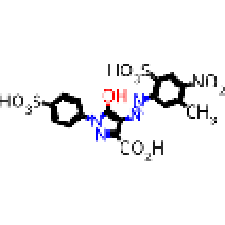 Cc1cc(/N=N/c2c(C(=O)O)nn(-c3ccc(S(=O)(=O)O)cc3)c2O)c(S(=O)(=O)O)cc1[N+](=O)[O-]